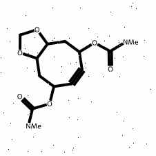 CNC(=O)OC1C#CC(OC(=O)NC)CC2OCOC2C1